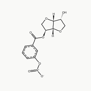 O=C(O[C@H]1CO[C@H]2[C@@H]1OC[C@H]2O)c1cccc(O[N+](=O)[O-])c1